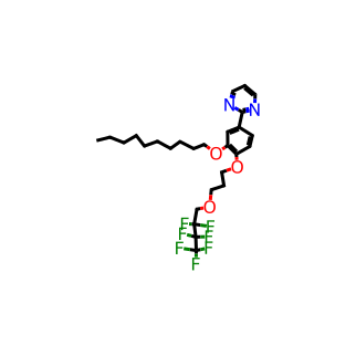 CCCCCCCCCCOc1cc(-c2ncccn2)ccc1OCCCOCC(F)(F)C(F)(F)C(F)(F)F